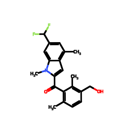 Cc1ccc(CO)c(C)c1C(=O)c1cc2c(C)cc(C(F)F)cc2n1C